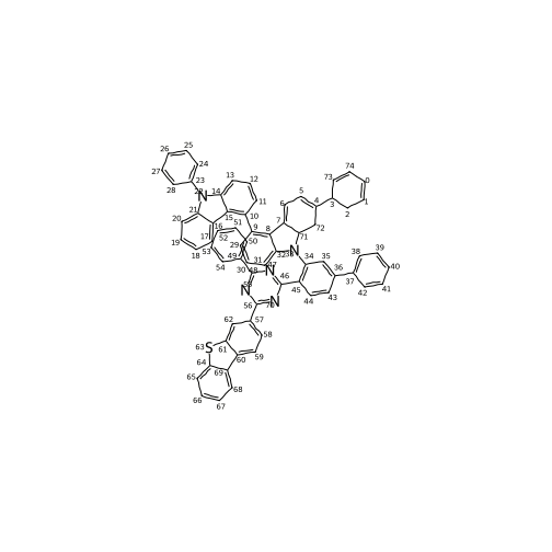 C1=CCC(C2=CC=C3c4c(-c5cccc6c5c5ccccc5n6-c5ccccc5)cccc4N(c4cc(-c5ccccc5)ccc4-c4nc(-c5ccccc5)nc(-c5ccc6c(c5)sc5ccccc56)n4)C3C2)C=C1